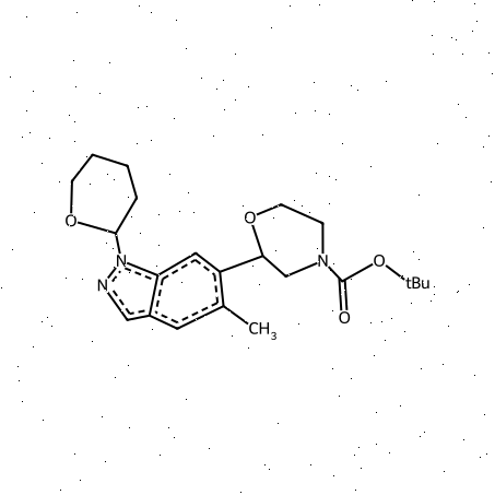 Cc1cc2cnn(C3CCCCO3)c2cc1C1CN(C(=O)OC(C)(C)C)CCO1